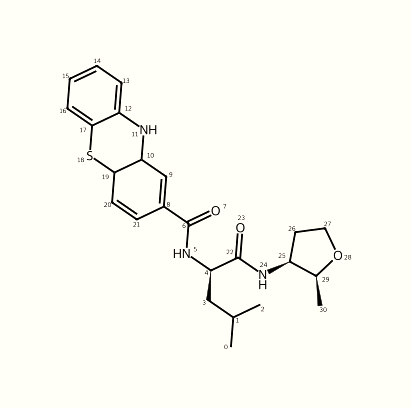 CC(C)C[C@@H](NC(=O)C1=CC2Nc3ccccc3SC2C=C1)C(=O)N[C@H]1CCO[C@H]1C